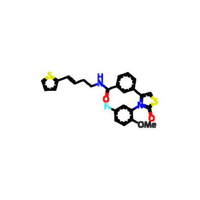 COc1ccc(F)cc1-n1c(-c2cccc(C(=O)NCC/C=C/c3cccs3)c2)csc1=O